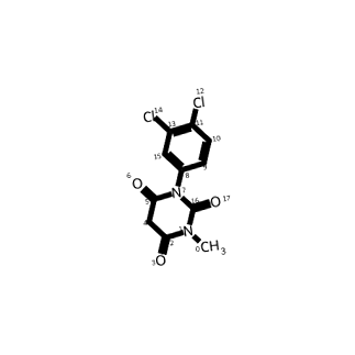 CN1C(=O)CC(=O)N(c2ccc(Cl)c(Cl)c2)C1=O